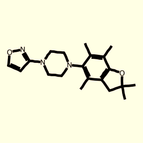 Cc1c(C)c(N2CCN(c3ccon3)CC2)c(C)c2c1OC(C)(C)C2